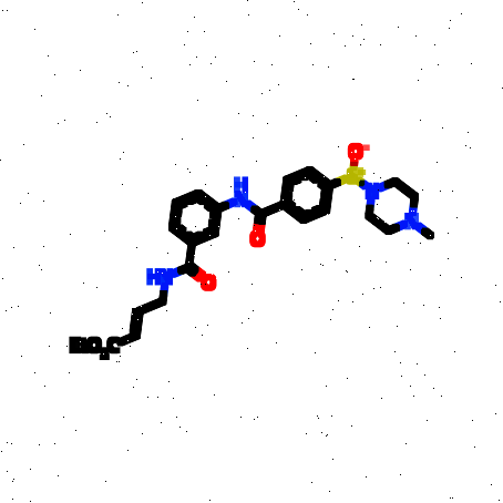 CCOC(=O)/C=C/CNC(=O)c1cccc(NC(=O)c2ccc([S+]([O-])N3CCN(C)CC3)cc2)c1